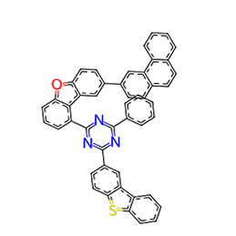 c1ccc(-c2nc(-c3ccc4sc5ccccc5c4c3)nc(-c3cccc4oc5ccc(-c6ccc7ccc8ccccc8c7c6)cc5c34)n2)cc1